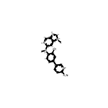 CCc1cc(-c2ccc(C#N)nc2)ccc1N(C)c1cc2c(cn1)ncn2C